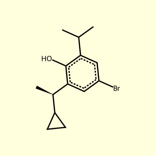 CC(C)c1cc(Br)cc([C@H](C)C2CC2)c1O